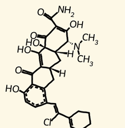 CN(C)[C@H]1C(O)=C(C(N)=O)C(=O)[C@@]2(O)C(O)=C3C(=O)c4c(O)ccc(/C=C(\Cl)C5=CCCCC5)c4C[C@H]3C[C@@H]12